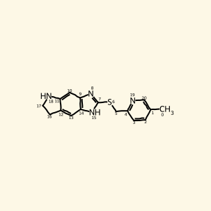 Cc1ccc(CSc2nc3cc4c(cc3[nH]2)CCN4)nc1